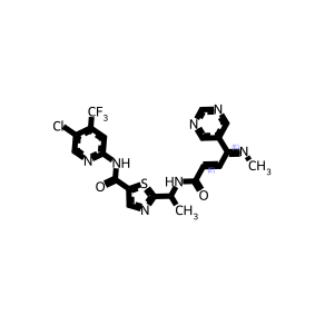 C/N=C(\C=C\C(=O)NC(C)c1ncc(C(=O)Nc2cc(C(F)(F)F)c(Cl)cn2)s1)c1cncnc1